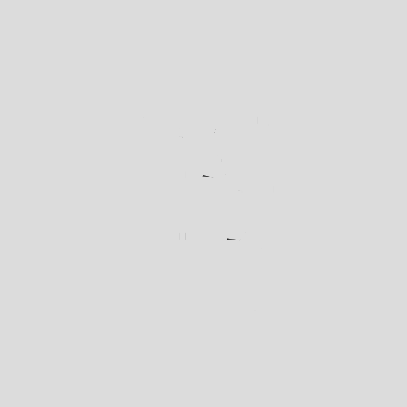 CCC(=O)O[C@]1(C(=O)CO)C(C)C[C@H]2C3=C(C(O)C[C@@]21C)[C@@]1(C)C=CC(=O)C=C1CC3